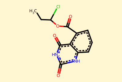 CCC(Cl)OC(=O)c1cccc2[nH]c(=O)[nH]c(=O)c12